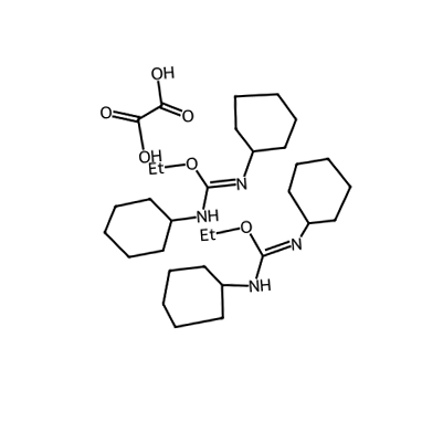 CCOC(=NC1CCCCC1)NC1CCCCC1.CCOC(=NC1CCCCC1)NC1CCCCC1.O=C(O)C(=O)O